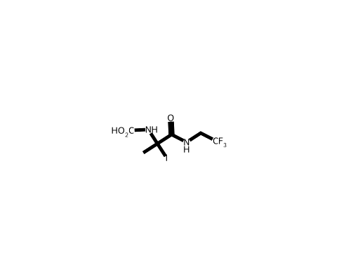 CC(I)(NC(=O)O)C(=O)NCC(F)(F)F